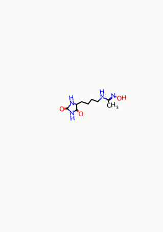 C/C(=N\O)NCCCCC1NC(=O)NC1=O